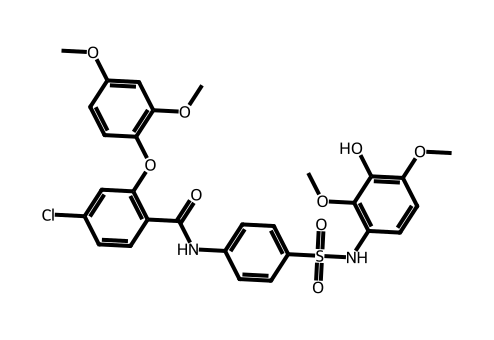 COc1ccc(Oc2cc(Cl)ccc2C(=O)Nc2ccc(S(=O)(=O)Nc3ccc(OC)c(O)c3OC)cc2)c(OC)c1